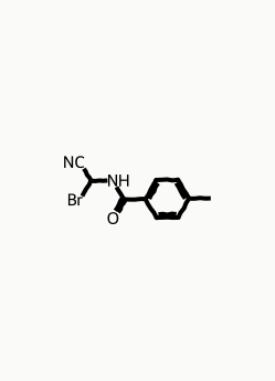 Cc1ccc(C(=O)NC(Br)C#N)cc1